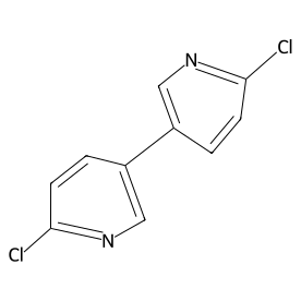 Clc1ccc(-c2ccc(Cl)nc2)cn1